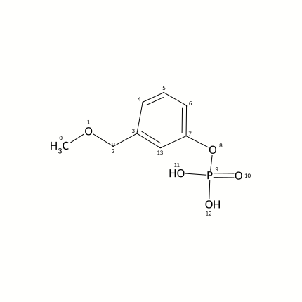 CO[C]c1cccc(OP(=O)(O)O)c1